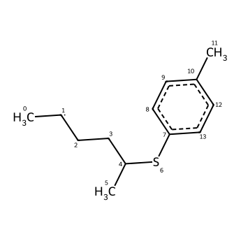 C[CH]CCC(C)Sc1ccc(C)cc1